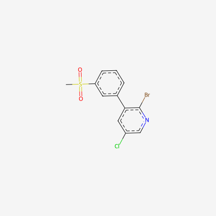 CS(=O)(=O)c1cccc(-c2cc(Cl)cnc2Br)c1